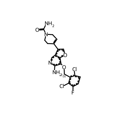 C[C@H](Oc1c(N)ncc2c(C3=CCN(C(N)=O)CC3)coc12)c1c(Cl)ccc(F)c1Cl